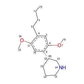 CCCCc1cc(OC)c([C@H]2CCCNC2)cc1OC